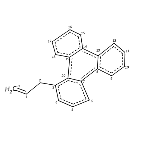 C=CCc1cccc2c3ccccc3c3ccccc3c12